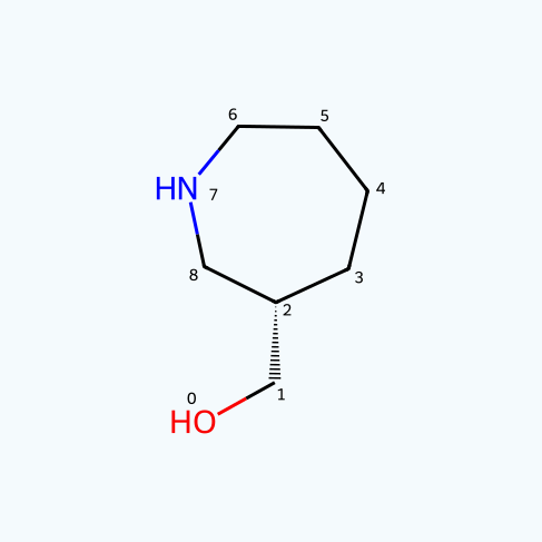 OC[C@H]1CCCCNC1